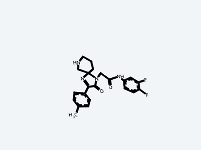 Cc1ccc(C2=NC3(CCCNC3)N(CC(=O)Nc3ccc(F)c(F)c3)C2=O)cc1